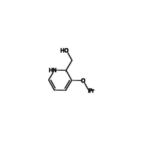 CC(C)OC1=CC=CN[C]1CO